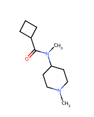 CN1CCC(N(C)C(=O)C2CCC2)CC1